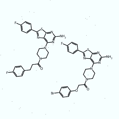 Nc1nc(N2CCN(C(=O)CCc3ccc(F)cc3)CC2)c2nc(-c3ccc(F)cc3)sc2n1.Nc1nc(N2CCN(C(=O)COc3ccc(Br)cc3)CC2)c2nc(-c3ccc(F)cc3)sc2n1